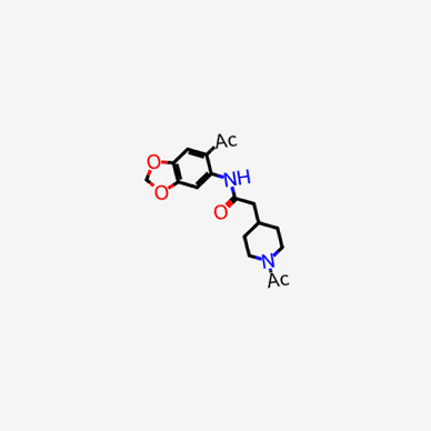 CC(=O)c1cc2c(cc1NC(=O)CC1CCN(C(C)=O)CC1)OCO2